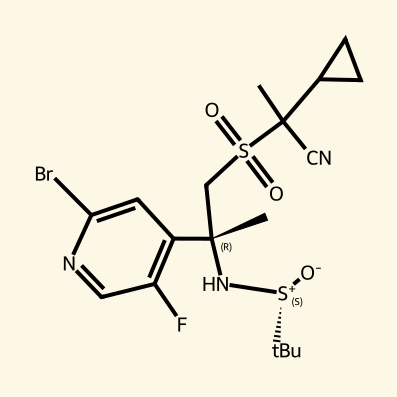 CC(C)(C)[S@@+]([O-])N[C@@](C)(CS(=O)(=O)C(C)(C#N)C1CC1)c1cc(Br)ncc1F